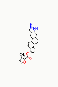 Cc1ccoc1C(=O)OC1=CCC2C1C=CC1C3CC4CNNC4CC3CCC12